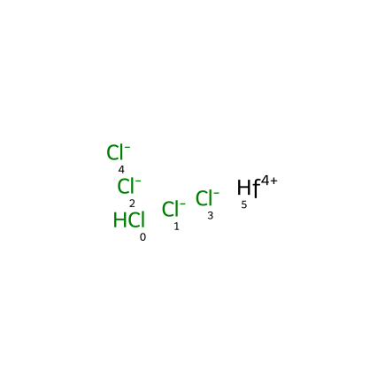 Cl.[Cl-].[Cl-].[Cl-].[Cl-].[Hf+4]